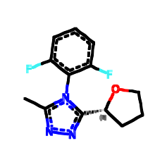 Cc1nnc([C@H]2CCCO2)n1-c1c(F)cccc1F